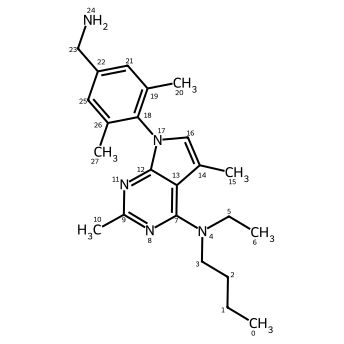 CCCCN(CC)c1nc(C)nc2c1c(C)cn2-c1c(C)cc(CN)cc1C